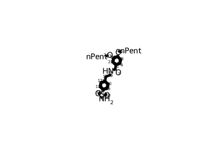 CCCCCOc1ccc(C(=O)NCCc2ccc(S(N)(=O)=O)cc2)cc1OCCCCC